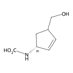 O=C(O)N[C@H]1C=CC(CO)C1